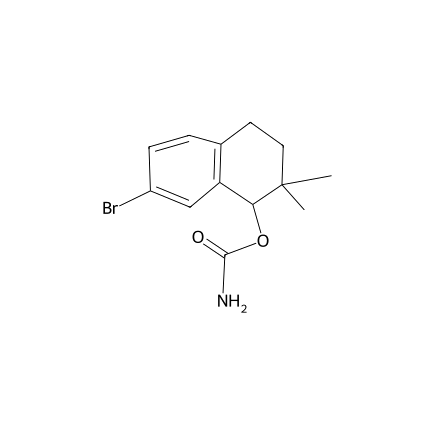 CC1(C)CCc2ccc(Br)cc2C1OC(N)=O